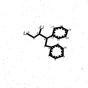 [Li][CH2][CH]([Li])C(Cc1ccccc1)c1ccccc1